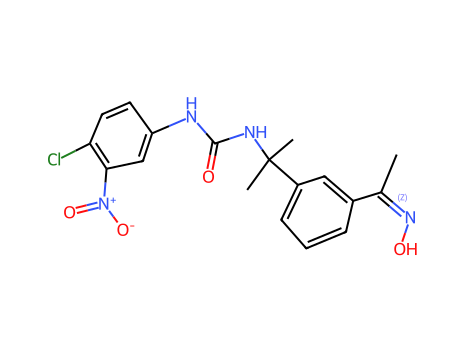 C/C(=N/O)c1cccc(C(C)(C)NC(=O)Nc2ccc(Cl)c([N+](=O)[O-])c2)c1